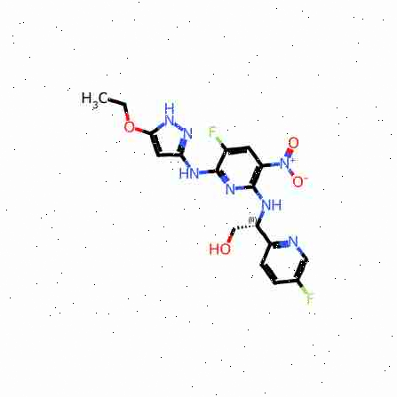 CCOc1cc(Nc2nc(N[C@@H](CO)c3ccc(F)cn3)c([N+](=O)[O-])cc2F)n[nH]1